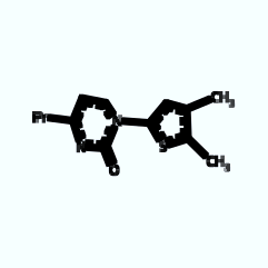 Cc1cc(-n2ccc(C(C)C)nc2=O)sc1C